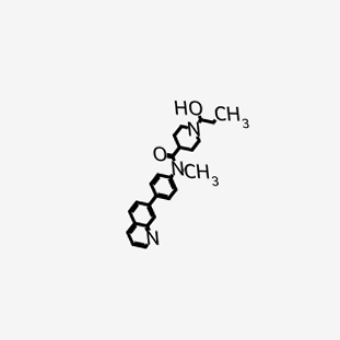 CCC(O)N1CCC(C(=O)N(C)c2ccc(-c3ccc4cccnc4c3)cc2)CC1